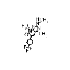 CCNc1nc(C)c2cc(-c3ccc(C(F)(F)F)cc3)c(=O)n(CC)c2n1